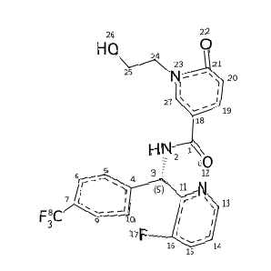 O=C(N[C@@H](c1ccc(C(F)(F)F)cc1)c1ncccc1F)c1ccc(=O)n(CCO)c1